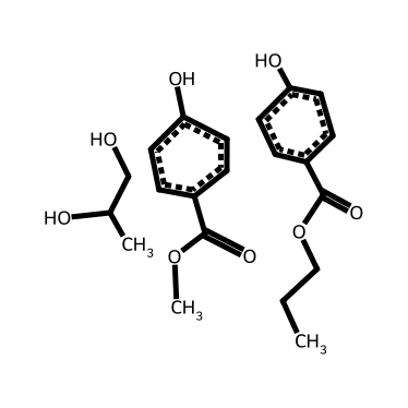 CC(O)CO.CCCOC(=O)c1ccc(O)cc1.COC(=O)c1ccc(O)cc1